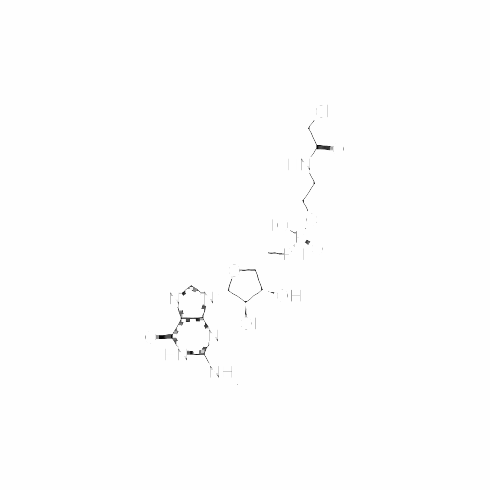 Nc1nc2c(ncn2[C@@H]2O[C@H](CPP(=O)(O)OCCNC(=O)CCl)[C@@H](O)[C@H]2O)c(=O)[nH]1